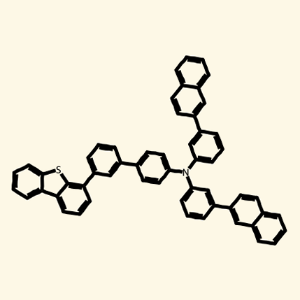 c1cc(-c2ccc(N(c3cccc(-c4ccc5ccccc5c4)c3)c3cccc(-c4ccc5ccccc5c4)c3)cc2)cc(-c2cccc3c2sc2ccccc23)c1